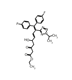 CCOC(=O)CC(=O)CC(O)/C=C/C(=C(c1ccc(F)cc1)c1ccc(F)cc1)c1nnn(C(C)C)n1